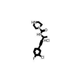 CC(C#Cc1ccc(F)c(Cl)c1)NC(=O)N1CCNCC1.Cl